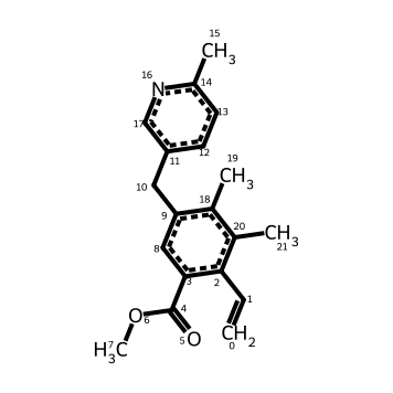 C=Cc1c(C(=O)OC)cc(Cc2ccc(C)nc2)c(C)c1C